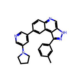 Cc1cccc(-c2n[nH]c3cnc4ccc(-c5cncc(N6CCCC6)c5)cc4c23)c1